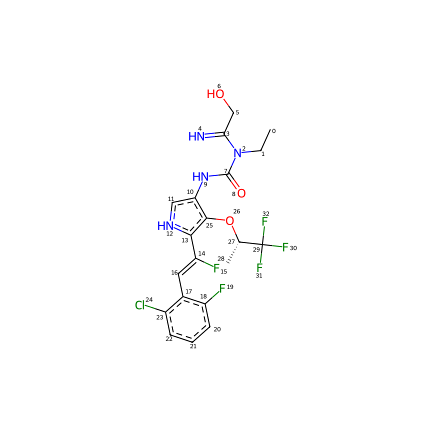 CCN(C(=N)CO)C(=O)Nc1c[nH]c(/C(F)=C/c2c(F)cccc2Cl)c1O[C@@H](C)C(F)(F)F